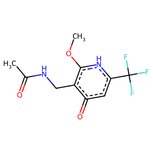 COc1[nH]c(C(F)(F)F)cc(=O)c1CNC(C)=O